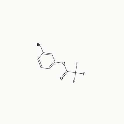 O=C(Oc1cccc(Br)c1)C(F)(F)F